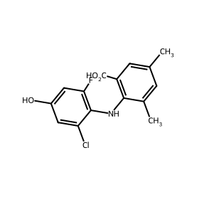 Cc1cc(C)c(Nc2c(F)cc(O)cc2Cl)c(C(=O)O)c1